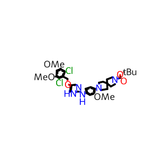 COc1cc(NC2N=CC(OCc3c(Cl)c(OC)cc(OC)c3Cl)=CN2)ccc1N1CCC2(CCN(C(=O)OC(C)(C)C)CC2)CC1